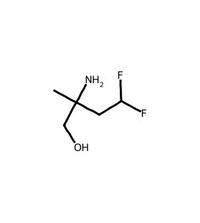 CC(N)(CO)CC(F)F